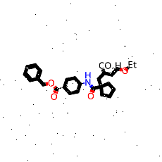 CCOCCC(CC1(C(=O)N[C@H]2CC[C@@H](C(=O)OCc3ccccc3)CC2)CCCC1)C(=O)O